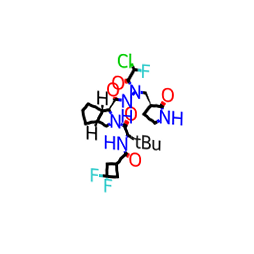 CC(C)(C)C(NC(=O)C1CC(F)(F)C1)C(=O)N1C[C@@H]2CCC[C@@H]2[C@H]1C(=O)NN(C[C@@H]1CCNC1=O)C(=O)C(F)Cl